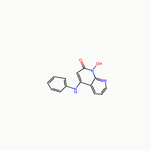 O=c1cc(Nc2ccccc2)c2cccnc2n1O